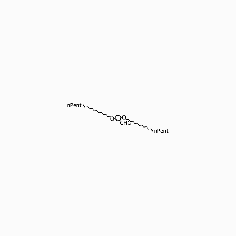 CCCCCC=CCC=CCCCCCCCCOc1ccc(OCCCCCCCCC=CCC=CCCCCC)c(C=O)c1